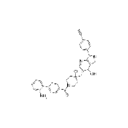 C#Cc1ccc(-n2ncc3c2N=CN(CC2(O)CCN(C(=O)c4ccc(-c5ccccc5N)cc4)CC2)C3O)cc1